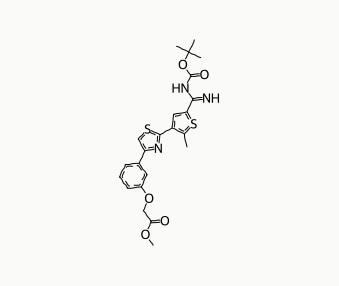 COC(=O)COc1cccc(-c2csc(-c3cc(C(=N)NC(=O)OC(C)(C)C)sc3C)n2)c1